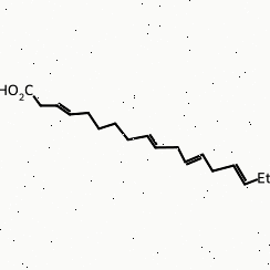 CCC=CCC=CCC=CCCCCC=CCC(=O)O